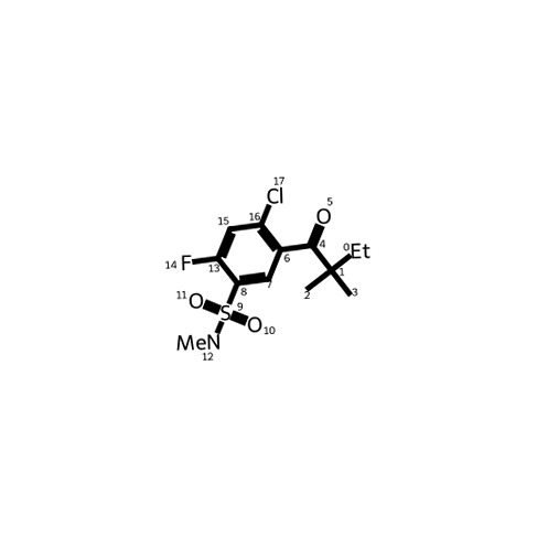 CCC(C)(C)C(=O)c1cc(S(=O)(=O)NC)c(F)cc1Cl